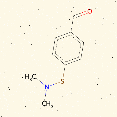 CN(C)Sc1ccc(C=O)cc1